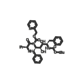 CC(C)[C@H](N)C(=O)N(C(=O)OCc1ccccn1)[C@@H](Cc1ccccc1)[C@@H](O)[C@@H](O)[C@H](Cc1ccccc1)NC(=O)OC(C)(C)C